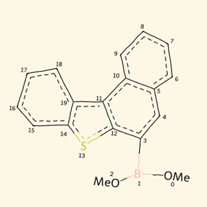 COB(OC)c1cc2ccccc2c2c1sc1ccccc12